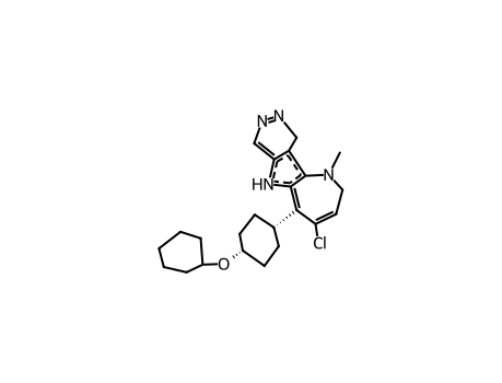 CN1CC=C(Cl)C([C@H]2CC[C@@H](OC3CCCCC3)CC2)=c2[nH]c3c(c21)CN=NC=3